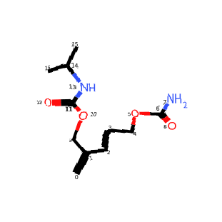 C=C(C=CCOC(N)=O)COC(=O)NC(C)C